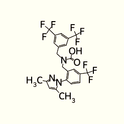 Cc1cc(C)n(-c2ccc(C(F)(F)F)cc2CN(Cc2cc(C(F)(F)F)cc(C(F)(F)F)c2)C(=O)O)n1